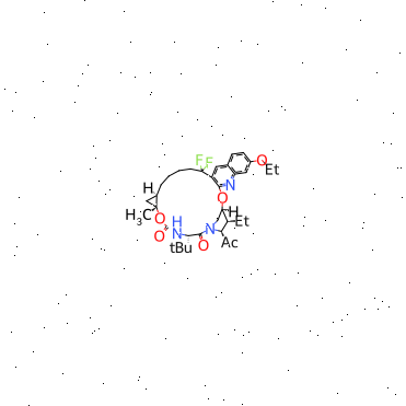 CCOc1ccc2cc3c(nc2c1)O[C@H]1CN(C(=O)[C@H](C(C)(C)C)NC(=O)O[C@]2(C)C[C@H]2CCCCC3(F)F)[C@H](C(C)=O)[C@@H]1CC